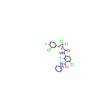 O=C(Nc1ccccc1)c1c(Cl)ccc(NC(=O)[C@H]2[C@H](c3ccc(F)c(Cl)c3)C2(Cl)Cl)c1F